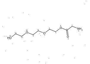 NCC(=O)OCCOCCOCCO